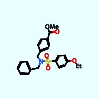 CCOc1ccc(S(=O)(=O)N(Cc2ccccc2)Cc2ccc(C(=O)OC)cc2)cc1